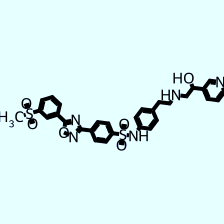 CS(=O)(=O)c1cccc(-c2nc(-c3ccc(S(=O)(=O)Nc4ccc(CCNCC(O)c5cccnc5)cc4)cc3)no2)c1